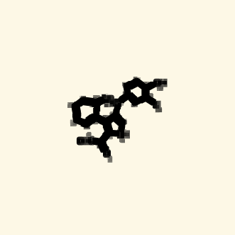 O=CC(=O)c1[nH]cc(Nc2ccc(O)c(Cl)c2)c1-c1ccccc1[N+](=O)[O-]